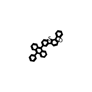 C1=c2c(-c3ccccc3)c3ccccc3c(-c3ccc4sc5c(ccc6oc7ccccc7c65)c4c3)c2=CCC1